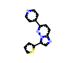 c1csc(-c2cnc3ccc(-c4ccncc4)nn23)c1